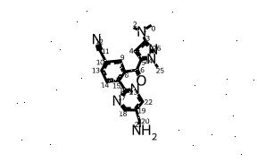 CN(C)c1cc(C(=O)c2cc(C#N)ccc2-c2ncc(CN)cn2)n(C)n1